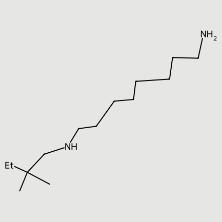 CCC(C)(C)CNCCCCCCCCN